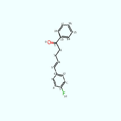 O=C(CCC=Cc1ccc(F)cc1)c1ccccc1